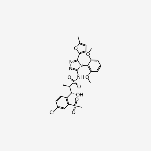 COc1cccc(OC)c1-n1c(NS(=O)(=O)[C@H](C)[C@H](O)c2ccc(Cl)cc2S(C)(=O)=O)nnc1-c1ccc(C)o1